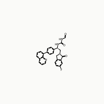 O=CNC(=O)N[C@@H](CN1Cc2ccc(F)cc2C1=O)c1ccc(-c2cccc3cccnc23)cc1